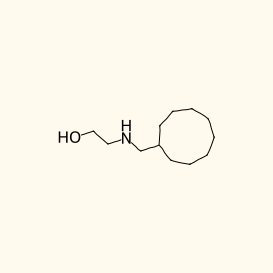 OCCNCC1CCCCCCCC1